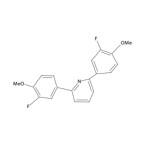 COc1ccc(-c2cccc(-c3ccc(OC)c(F)c3)n2)cc1F